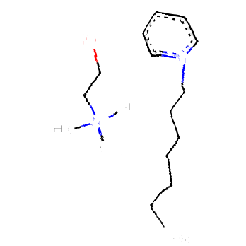 CCCCCCCCCCCCCCCC[n+]1ccccc1.C[N+](C)(C)CCO